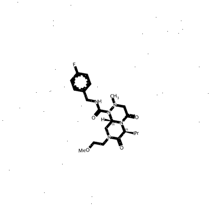 COCCN1C[C@H]2N(C(=O)CN(C)N2C(=O)NCc2ccc(F)cc2)[C@@H](C(C)C)C1=O